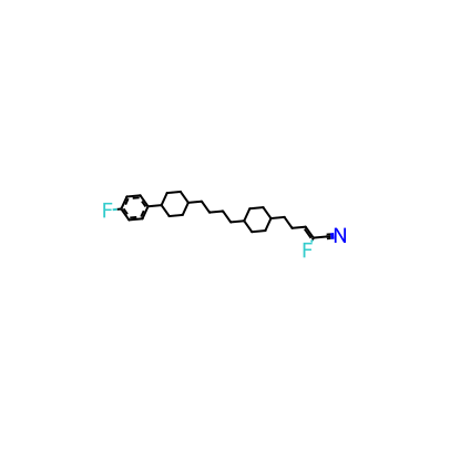 N#CC(F)=CCCC1CCC(CCCCC2CCC(c3ccc(F)cc3)CC2)CC1